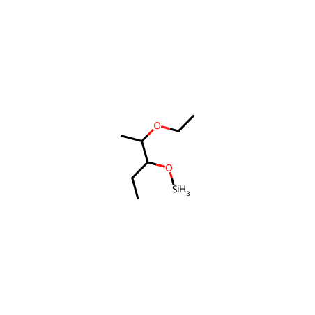 CCOC(C)C(CC)O[SiH3]